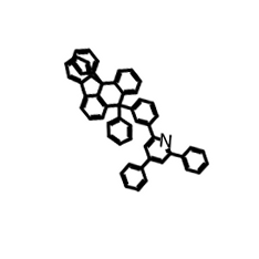 c1ccc(-c2cc(-c3ccccc3)nc(-c3cccc(C4(c5ccccc5)c5ccccc5C5(c6ccccc6)c6ccccc6-c6cccc4c65)c3)c2)cc1